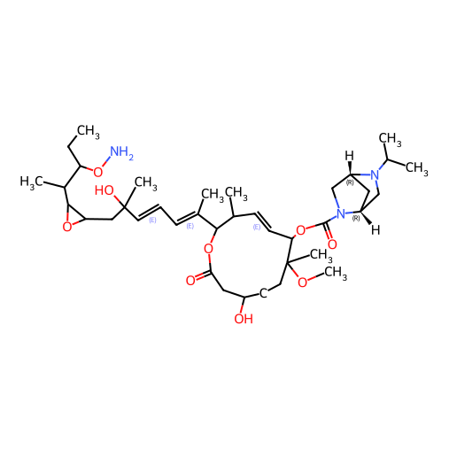 CCC(ON)C(C)C1OC1CC(C)(O)/C=C/C=C(\C)C1OC(=O)CC(O)CCC(C)(OC)C(OC(=O)N2C[C@H]3C[C@@H]2CN3C(C)C)/C=C/C1C